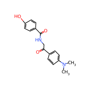 CN(C)c1ccc(C(=O)CNC(=O)c2ccc(O)cc2)cc1